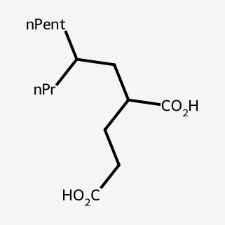 CCCCCC(CCC)CC(CCC(=O)O)C(=O)O